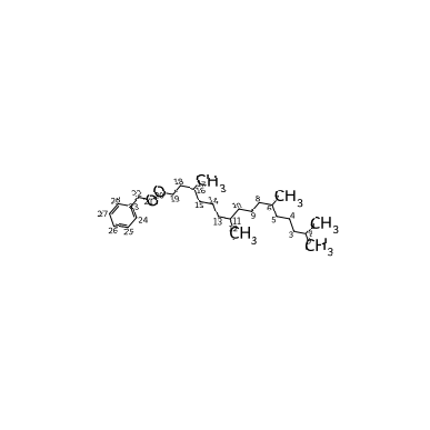 CC(C)CCCC(C)CCCC(C)CCCC(C)CCOOCc1ccccc1